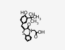 CC(C)(C)c1cc(/C=C2/Sc3ccccc3N(CC(=O)O)C2=O)ccc1O